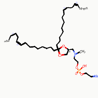 CCCC/C=C\C/C=C\CCCCCCCCC1(CCCCCCCC/C=C\C/C=C\CCCCC)OC[C@H](CN(C)CCOP(=O)(O)OCCN)O1